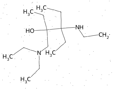 [CH2]CNC(CC)(CC)C(O)(CC)CN(CC)CC